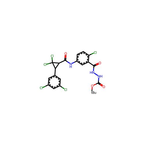 CC(C)(C)OC(=O)NNC(=O)c1cc(NC(=O)C2C(c3cc(Cl)cc(Cl)c3)C2(Cl)Cl)ccc1Cl